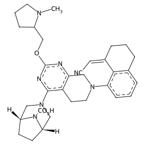 CN1CCCC1COc1nc2c(c(N3C[C@H]4CC[C@@H](C3)N4C(=O)O)n1)CCN(c1cccc3c1/C(=C\C#N)CCC3)C2